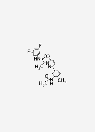 CC(=O)Nc1cc(-c2ccc(=O)n(C(C)C(=O)Nc3cc(F)cc(F)c3)n2)ccc1C